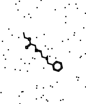 CCOC(=O)CN=CCSCc1ccccc1